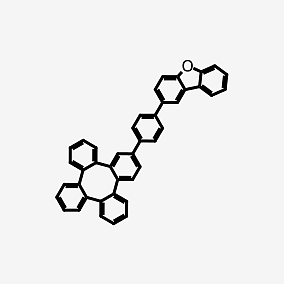 c1ccc2c(c1)-c1ccccc1-c1ccc(-c3ccc(-c4ccc5oc6ccccc6c5c4)cc3)cc1-c1ccccc1-2